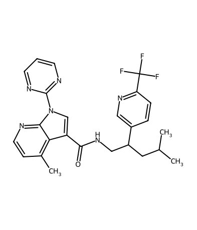 Cc1ccnc2c1c(C(=O)NCC(CC(C)C)c1ccc(C(F)(F)F)nc1)cn2-c1ncccn1